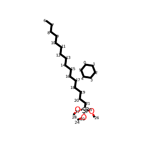 C1CCCCC1.CCCCCCCCCCCCCCCC[Si](OC)(OC)OC